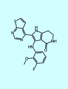 COc1c(F)cccc1Nc1c(-c2ncnc3sccc23)[nH]c2c1C(=O)NCC2